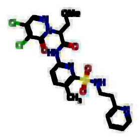 COCC(C(=O)Nc1ccc(C)c(S(=O)(=O)NCCc2ccccn2)n1)n1ncc(Cl)c(Cl)c1=O